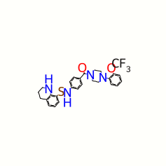 O=C(c1ccc(NSc2cccc3c2NCCC3)cc1)N1CCN(c2ccccc2OC(F)(F)F)CC1